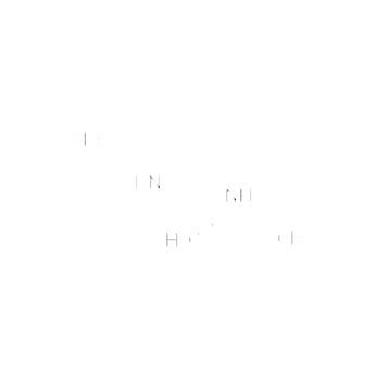 CCCCNc1ccc(NCCCC)c(OC)c1